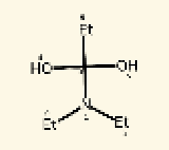 CCN(CC)C(O)(O)CC